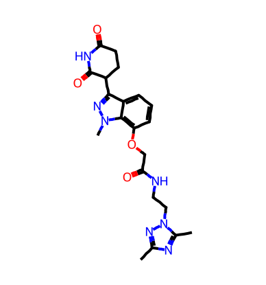 Cc1nc(C)n(CCNC(=O)COc2cccc3c(C4CCC(=O)NC4=O)nn(C)c23)n1